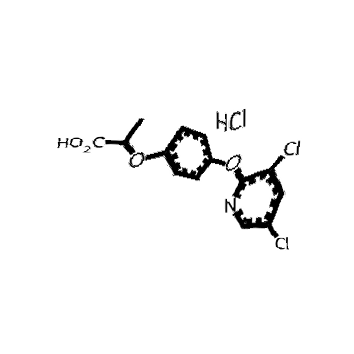 CC(Oc1ccc(Oc2ncc(Cl)cc2Cl)cc1)C(=O)O.Cl